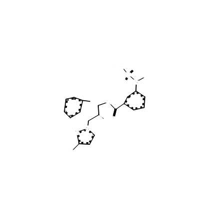 CCCS(=O)(=O)N(C)c1cccc(C(=O)N[C@@H](Cc2ccccc2)[C@@H](O)Cn2ccc(C(C)C)n2)c1